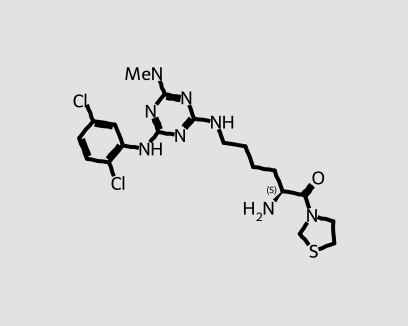 CNc1nc(NCCCC[C@H](N)C(=O)N2CCSC2)nc(Nc2cc(Cl)ccc2Cl)n1